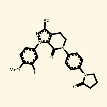 COc1ccc(-n2nc(C(C)=O)c3c2C(=O)N(c2ccc(N4CCCC4=O)cc2)CC3)cc1F